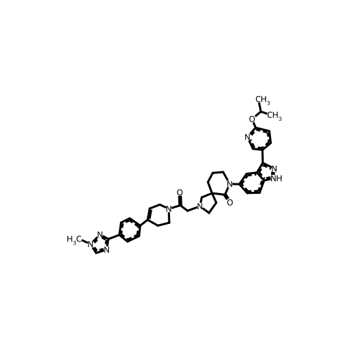 CC(C)Oc1ccc(-c2n[nH]c3ccc(N4CCCC5(CCN(CC(=O)N6CC=C(c7ccc(-c8ncn(C)n8)cc7)CC6)C5)C4=O)cc23)cn1